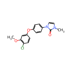 COc1cc(Oc2ccc(-n3ccn(C)c3=O)cc2)ccc1Cl